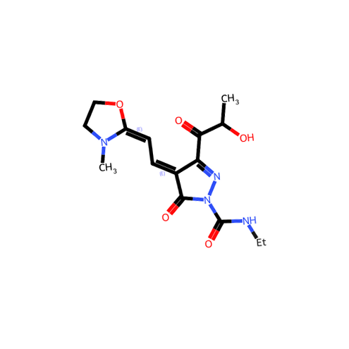 CCNC(=O)N1N=C(C(=O)C(C)O)/C(=C\C=C2\OCCN2C)C1=O